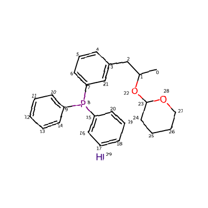 CC(Cc1cccc(P(c2ccccc2)c2ccccc2)c1)OC1CCCCO1.I